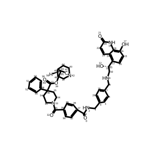 O=C(NCc1ccc(CNC[C@H](O)c2ccc(O)c3[nH]c(=O)ccc23)cc1)c1ccc(C(=O)N2CCC(C(=O)O[C@H]3CN4CCC3CC4)(c3ccccc3)CC2)cc1